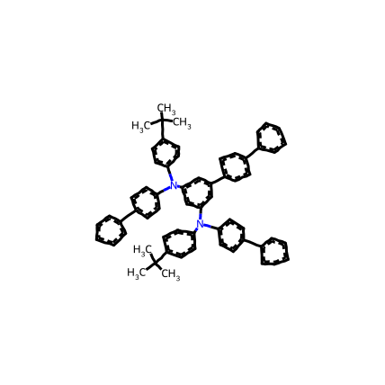 CC(C)(C)c1ccc(N(c2ccc(-c3ccccc3)cc2)c2cc(-c3ccc(-c4ccccc4)cc3)cc(N(c3ccc(-c4ccccc4)cc3)c3ccc(C(C)(C)C)cc3)c2)cc1